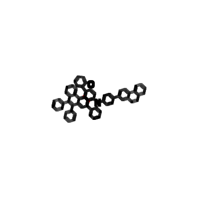 c1ccc(-c2c(-c3ccccc3)c3cc(-c4ccccc4N(c4ccc(-c5ccc6c(ccc7ccccc76)c5)cc4)c4ccc5c(c4)oc4ccccc45)ccc3c3ccccc23)cc1